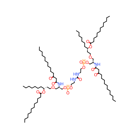 CCCCCCCCCCCC(=O)CC(=O)N[C@H](COCC[C@@H](CCCCCCC)OC(=O)CCCCCCCCCCC)CO[PH](=O)OCCNC(=O)NCCO[PH](=O)OC[C@@H](COCC[C@@H](CCCCCCC)OC(=O)CCCCCCCCCCC)NC(=O)CC(=O)CCCCCCCCCCC